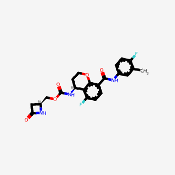 Cc1cc(NC(=O)c2ccc(F)c3c2OCC[C@@H]3NC(=O)OC[C@@H]2CC(=O)N2)ccc1F